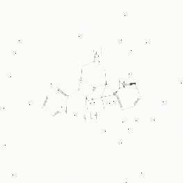 CCC12CN(C)CC(C1=O)C(c1ccccn1)N(C)C2(CC)c1ccccn1